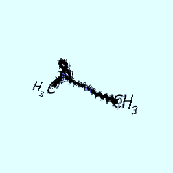 CCCCCCCCCC/C=C/CCCCCCC/C=C(/CCCC)c1ccccc1C#N